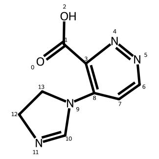 O=C(O)c1nnccc1N1C=NCC1